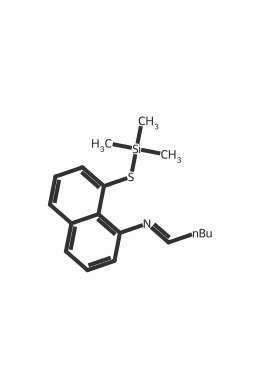 CCCCC=Nc1cccc2cccc(S[Si](C)(C)C)c12